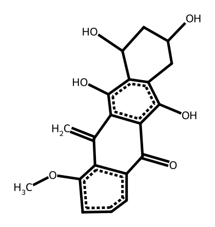 C=C1c2c(OC)cccc2C(=O)c2c(O)c3c(c(O)c21)C(O)CC(O)C3